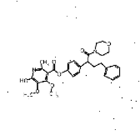 COc1c(O)nc(C)c(C(=O)Oc2ccc(C(CCc3ccccc3)C(=O)N3CCOCC3)cc2)c1OC